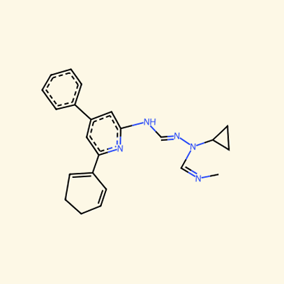 C/N=C\N(/N=C/Nc1cc(-c2ccccc2)cc(C2=CCCC=C2)n1)C1CC1